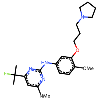 CNc1cc(C(C)(C)F)nc(Nc2ccc(OC)c(OCCCN3CCCC3)c2)n1